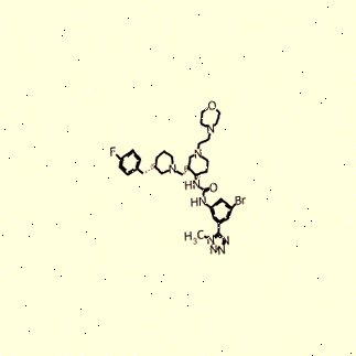 Cn1nnnc1-c1cc(Br)cc(NC(=O)N[C@@H]2CCN(CCN3CCOCC3)C[C@H]2CN2CCC[C@@H](Cc3ccc(F)cc3)C2)c1